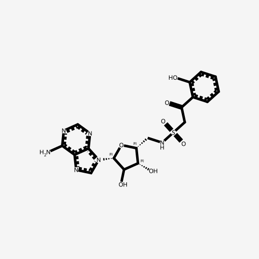 Nc1ncnc2c1ncn2[C@@H]1O[C@H](CNS(=O)(=O)CC(=O)c2ccccc2O)[C@H](O)C1O